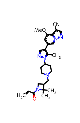 C=CC(=O)N1CC(CN2CCC(n3ncc(-c4cc(OC)c5c(C#N)cnn5c4)c3C)CC2)C1(C)C